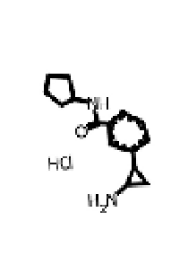 Cl.NC1CC1c1cccc(C(=O)NC2CCCC2)c1